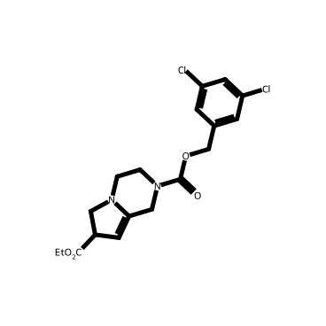 CCOC(=O)C1C=C2CN(C(=O)OCc3cc(Cl)cc(Cl)c3)CCN2C1